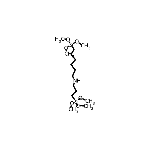 CO[Si](CCCCCCNCCC[Si](OC)(OC)OC)(OC)OC